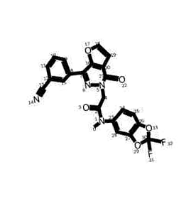 CN(C(=O)Cn1nc(-c2cccc(C#N)c2)c2occc2c1=O)c1ccc2c(c1)OC(F)(F)O2